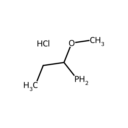 CCC(P)OC.Cl